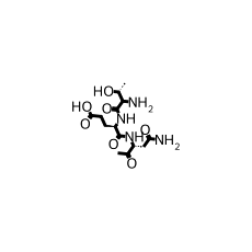 CC(=O)[C@@H](CC(N)=O)NC(=O)[C@@H](CCC(=O)O)NC(=O)C(N)[C@@H](C)O